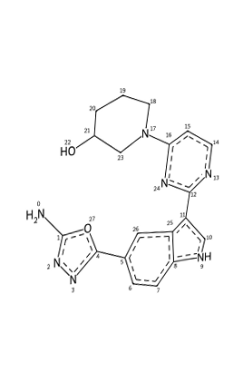 Nc1nnc(-c2ccc3[nH]cc(-c4nccc(N5CCCC(O)C5)n4)c3c2)o1